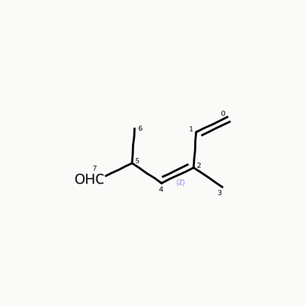 C=C/C(C)=C\C(C)C=O